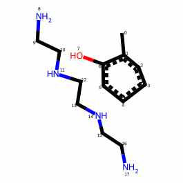 Cc1ccccc1O.NCCNCCNCCN